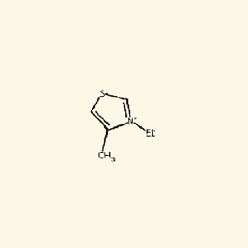 CC[n+]1cscc1C